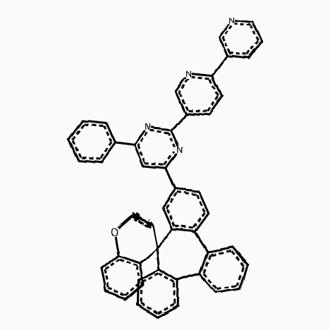 c1ccc(-c2cc(-c3ccc4c(c3)C3(c5ccccc5Oc5ccccc53)c3ccccc3-c3ccccc3-4)nc(-c3ccc(-c4cccnc4)nc3)n2)cc1